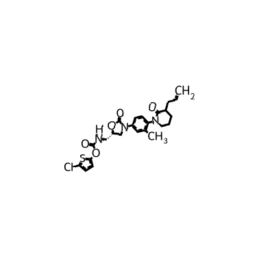 C=CCC1CCCN(c2ccc(N3C[C@H](CNC(=O)Oc4ccc(Cl)s4)OC3=O)cc2C)C1=O